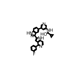 OC(Nc1cncc(-c2ccc3[nH]nc(-c4cc5c(-c6cccc(F)c6)nccc5[nH]4)c3c2)c1)C1CC1